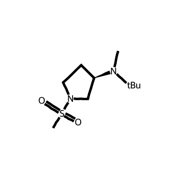 CN([C@@H]1CCN(S(C)(=O)=O)C1)C(C)(C)C